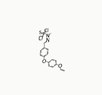 C=COc1ccc(Oc2ccc(C=NN(C)P(=S)(Cl)Cl)cc2)cc1